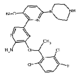 COc1ccc(N2CCNCC2)nc1-c1cnc(N)c(OC(C)c2c(Cl)ccc(F)c2Cl)c1